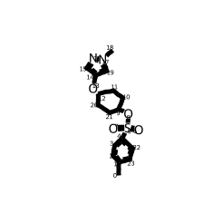 Cc1ccc(S(=O)(=O)OC2CCC(Oc3cnn(C)c3)CC2)cc1